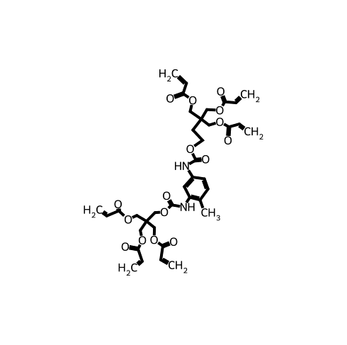 C=CC(=O)OCC(CCOC(=O)Nc1ccc(C)c(NC(=O)OCC(COC(=O)C=C)(COC(=O)C=C)COC(=O)C=C)c1)(COC(=O)C=C)COC(=O)C=C